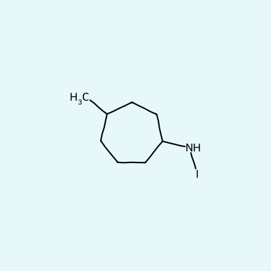 CC1CCCC(NI)CC1